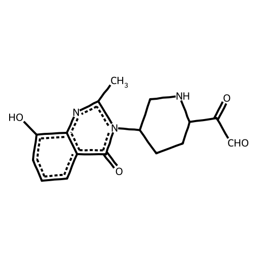 Cc1nc2c(O)cccc2c(=O)n1C1CCC(C(=O)C=O)NC1